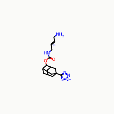 NC/C=C/CNC(=O)OC1C2CC3CC1CC(c1nn[nH]n1)(C3)C2